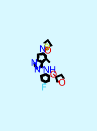 Cc1cc(N=S2(=O)CCC2)cc2ncnc(Nc3ccc(F)cc3O[C@H]3CCOC3)c12